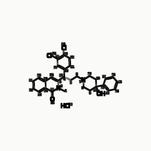 Cl.Cn1c([C@@H](CCN2CCC(O)(c3ccccc3)CC2)c2ccc(Cl)c(Cl)c2)cc2ccccc2c1=O